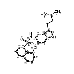 CN(C)CCc1c[nH]c2ccc(NS(=O)(=O)c3cccc4cccc(Cl)c34)cc12